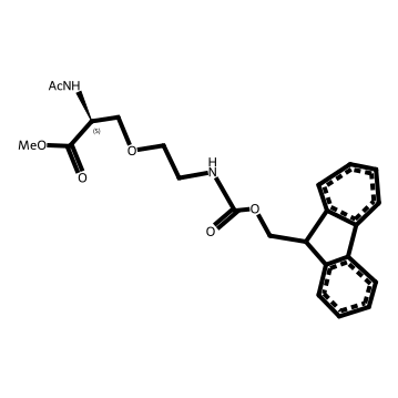 COC(=O)[C@H](COCCNC(=O)OCC1c2ccccc2-c2ccccc21)NC(C)=O